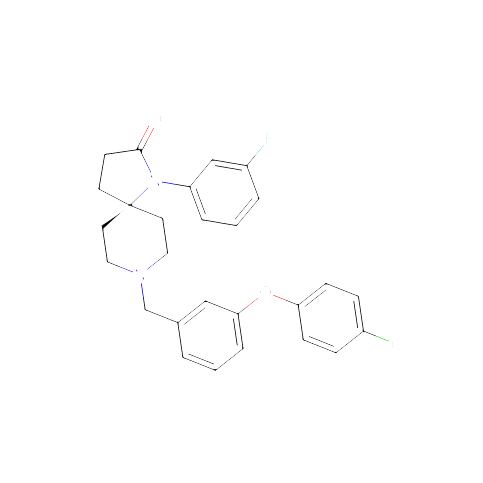 C[C@@H]1C[C@]2(CCC(=O)N2c2cccc(F)c2)CCN1Cc1cccc(Oc2ccc(Cl)cc2)c1